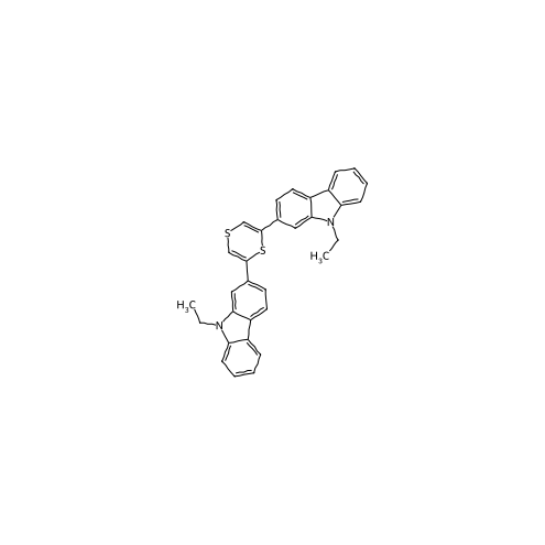 CCn1c2ccccc2c2ccc(C3=CSC=C(c4ccc5c6ccccc6n(CC)c5c4)S3)cc21